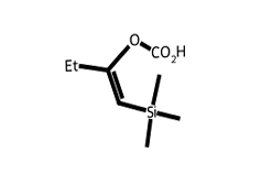 CCC(=C[Si](C)(C)C)OC(=O)O